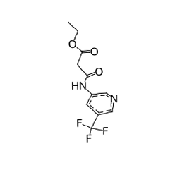 CCOC(=O)CC(=O)Nc1cncc(C(F)(F)F)c1